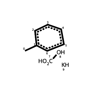 Cc1ccccc1.O=C(O)O.[KH]